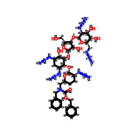 [N-]=[N+]=NC[C@@H]1OC(O[C@H]2[C@@H](O)[C@H](O[C@@H]3[C@@H](O)[C@H](N=[N+]=[N-])C[C@H](N=[N+]=[N-])[C@H]3O[C@H]3O[C@H](CN(Cc4ccccc4)C(=O)OCc4ccccc4)CC[C@H]3N=[N+]=[N-])O[C@@H]2CO)[C@H](N=[N+]=[N-])[C@@H](O)[C@@H]1O